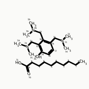 CCCCCCCCCC(=O)O.CN(C)Cc1ccc(O)c(CN(C)C)c1CN(C)C